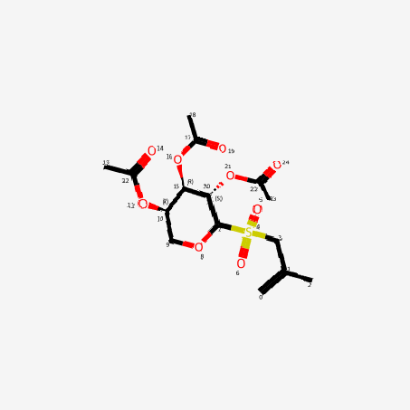 C=C(C)CS(=O)(=O)C1OC[C@@H](OC(C)=O)[C@@H](OC(C)=O)[C@@H]1OC(C)=O